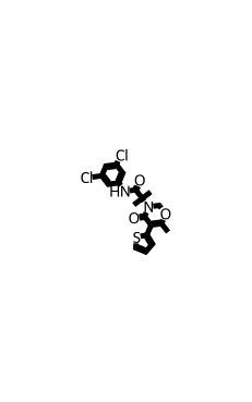 CC1=C(c2cccs2)C(=O)N(C(C)(C)C(=O)Nc2cc(Cl)cc(Cl)c2)CO1